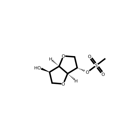 CS(=O)(=O)O[C@H]1CO[C@H]2[C@@H]1OC[C@H]2O